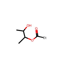 CCC(=O)OC(C)C(C)O